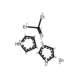 CCC(=O)CC.[Zn].c1cc[nH]c1.c1cscn1